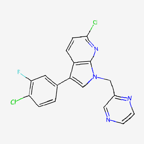 Fc1cc(-c2cn(Cc3cnccn3)c3nc(Cl)ccc23)ccc1Cl